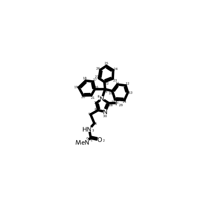 CNC(=O)NCCc1cn(C(c2ccccc2)(c2ccccc2)c2ccccc2)c(F)n1